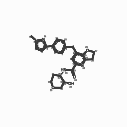 Cn1ccc(-c2ccc(Cc3cc(C(=O)N[C@H]4CCOC[C@@H]4O)nc4c3OCC4)cc2)n1